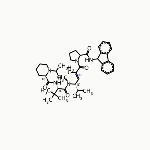 C/C(=C\[C@H](C(C)C)N(C)C(=O)[C@@H](NC(=O)[C@H]1CCCCN1C(C)C)C(C)(C)C)C(=O)N1CCCC1C(=O)NC1c2ccccc2-c2ccccc21